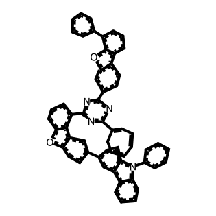 C1=CC=C(c2nc(-c3ccc4c(c3)oc3c(-c5ccccc5)cccc34)nc(-c3cccc4oc5ccc(-c6ccc7c(c6)c6ccccc6n7-c6ccccc6)cc5c34)n2)CC=C1